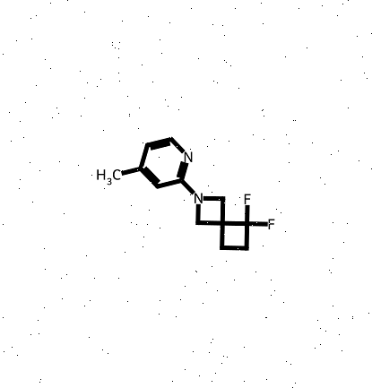 Cc1ccnc(N2CC3(CCC3(F)F)C2)c1